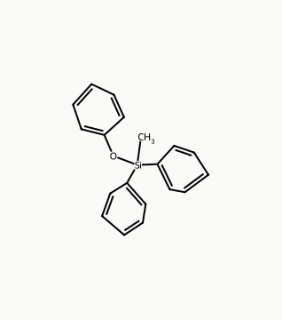 C[Si](Oc1ccccc1)(c1ccccc1)c1ccccc1